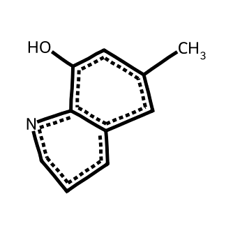 Cc1cc(O)c2ncccc2c1